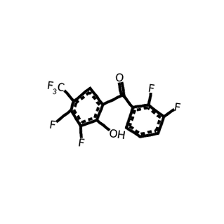 O=C(c1cc(C(F)(F)F)c(F)c(F)c1O)c1cccc(F)c1F